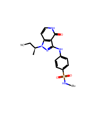 C[C@@H](CC#N)n1nc(Nc2ccc(S(=O)(=O)NC(C)(C)C)cc2)c2c(=O)[nH]ccc21